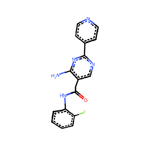 Nc1nc(-c2ccncc2)ncc1C(=O)Nc1ccccc1F